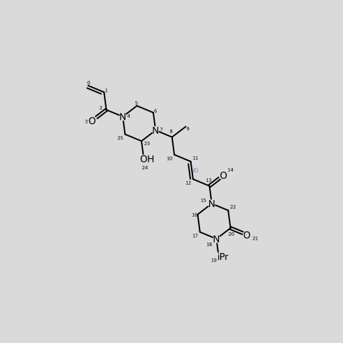 C=CC(=O)N1CCN(C(C)C/C=C/C(=O)N2CCN(C(C)C)C(=O)C2)C(O)C1